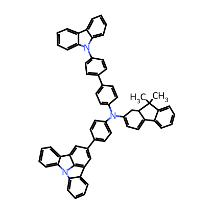 CC1(C)c2ccccc2C2=CC=C(N(c3ccc(-c4ccc(-n5c6ccccc6c6ccccc65)cc4)cc3)c3ccc(-c4cc5c6ccccc6n6c7ccccc7c(c4)c56)cc3)CC21